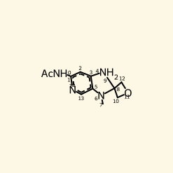 CC(=O)Nc1cc(N)c(N(C)C2(C)COC2)cn1